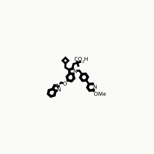 COc1ccc(-c2ccc(Cn3c(CC(C)(C)C(=O)O)c(CC4CCC4)c4cc(OCn5cc6ccccc6n5)ccc43)cc2)cn1